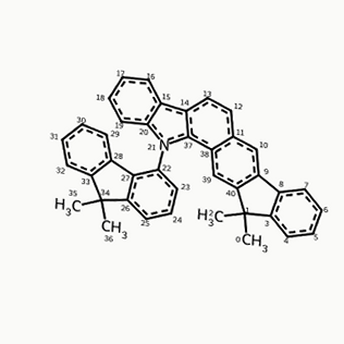 CC1(C)c2ccccc2-c2cc3ccc4c5ccccc5n(-c5cccc6c5-c5ccccc5C6(C)C)c4c3cc21